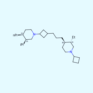 CCC[C@H]1CCN(C2CC(CCC[C@@H]3CCN(C4CCC4)C[C@H]3CC)C2)C[C@H]1C(C)C